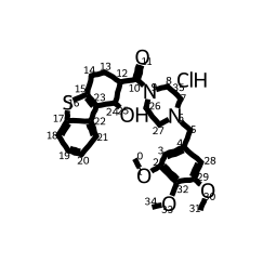 COc1cc(CN2CCN(C(=O)C3CCc4sc5ccccc5c4C3O)CC2)cc(OC)c1OC.Cl